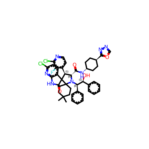 CC1(C)CCC2(CC1)N([C@H](c1ccccc1)[C@@H](O)c1ccccc1)[C@@H](C(=O)N[C@H]1CC[C@H](c3nnco3)CC1)[C@H](c1ccnc(Cl)c1F)C21C(=O)Nc2nc(Cl)ccc21